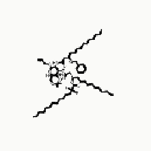 C=CCO[C@@H]1O[C@@H]2COC(C)(C)O[C@H]2[C@H](OC(=O)C[C@@H](CCCCCCCCCCC)OC(=O)C(F)(F)CCCCCCCCCCCC)[C@H]1NC(=O)C[C@@H](CCCCCCCCCCC)OCc1ccccc1